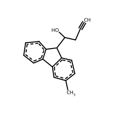 C#CCC(O)C1c2ccccc2-c2cc(C)ccc21